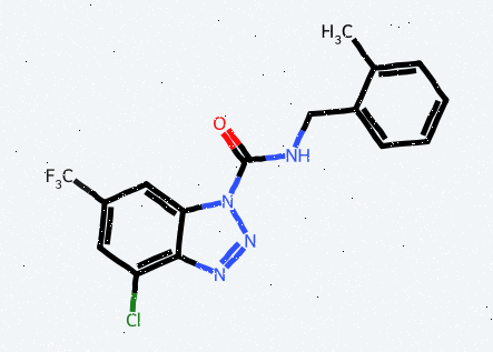 Cc1ccccc1CNC(=O)n1nnc2c(Cl)cc(C(F)(F)F)cc21